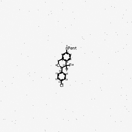 CCCCCc1ccc2c(c1)COC(c1ccc(Cl)cc1)C2(F)F